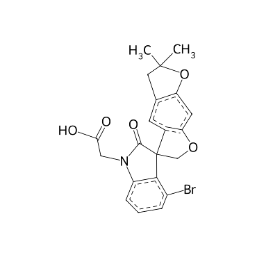 CC1(C)Cc2cc3c(cc2O1)OCC31C(=O)N(CC(=O)O)c2cccc(Br)c21